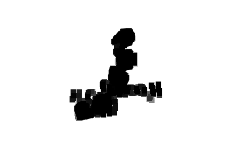 Cc1cc(NC(=O)n2nc(C(=O)O)c3cc(-c4cncc(CN5CCCCC5)c4)ccc32)cnc1N1CCCC1